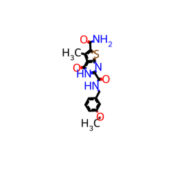 COc1cccc(CNC(=O)c2nc3sc(C(N)=O)c(C)c3c(=O)[nH]2)c1